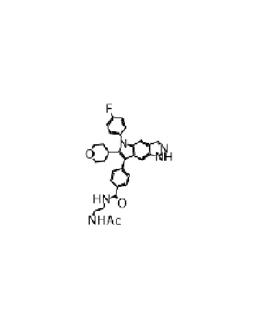 CC(=O)NCCNC(=O)c1ccc(-c2c(C3CCOCC3)n(-c3ccc(F)cc3)c3cc4cn[nH]c4cc23)cc1